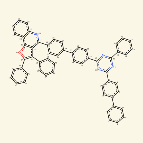 c1ccc(-c2ccc(-c3nc(-c4ccccc4)nc(-c4ccc(-c5ccc(-c6nc7ccccc7c7oc(-c8ccccc8)c(-c8ccccc8)c67)cc5)cc4)n3)cc2)cc1